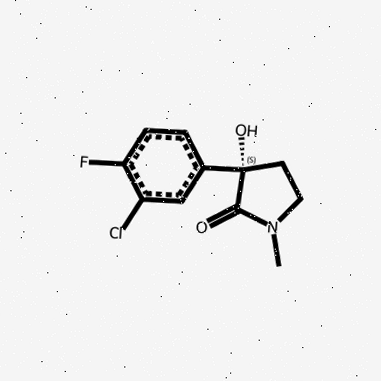 CN1CC[C@](O)(c2ccc(F)c(Cl)c2)C1=O